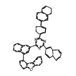 C1=CC2C=CC(c3nc(C4=CC=C(c5ccc6c(c5)CCC=C6)CC4)nc(-c4cc(-c5cccc6oc7ccccc7c56)c5ccccc5c4)n3)=CC2C=C1